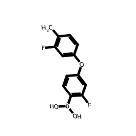 Cc1ccc(Oc2ccc(B(O)O)c(F)c2)cc1F